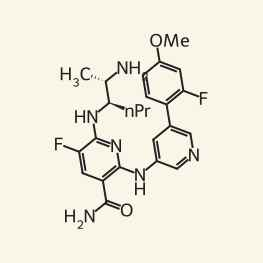 CCC[C@@H](Nc1nc(Nc2cncc(-c3ccc(OC)cc3F)c2)c(C(N)=O)cc1F)[C@H](C)N